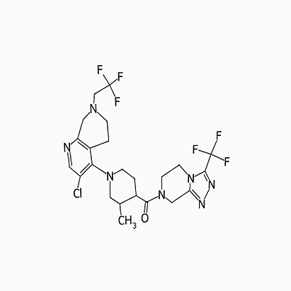 CC1CN(c2c(Cl)cnc3c2CCN(CC(F)(F)F)C3)CCC1C(=O)N1CCn2c(nnc2C(F)(F)F)C1